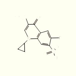 CCOC(=O)c1cn(C2CC2)c2cc(S(=O)(=O)C(F)(F)F)c(F)cc2c1=O